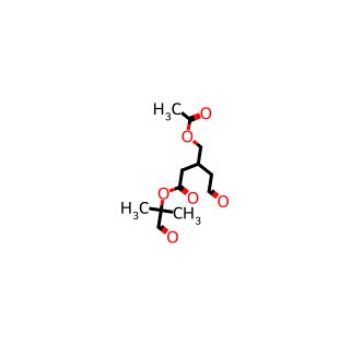 CC(=O)OCC(CC=O)CC(=O)OC(C)(C)C=O